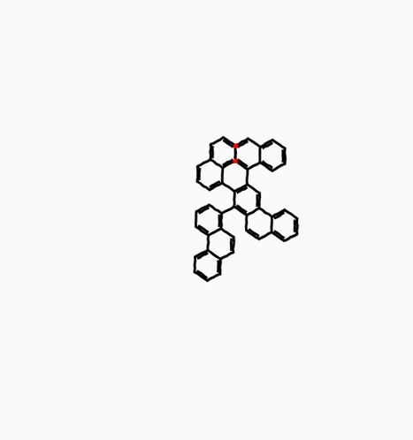 c1ccc2c(-c3cc4c(ccc5ccccc54)c(-c4cccc5c4ccc4ccccc45)c3-c3cccc4ccccc34)cccc2c1